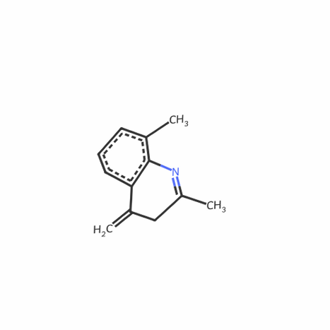 C=C1CC(C)=Nc2c(C)cccc21